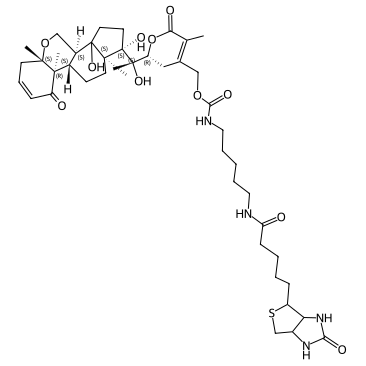 CC1=C(COC(=O)NCCCCCNC(=O)CCCCC2SCC3NC(=O)NC32)C[C@H]([C@](C)(O)[C@]2(O)CCC3(O)[C@@H]4CO[C@@]5(C)CC=CC(=O)[C@]5(C)[C@H]4CC[C@@]32C)OC1=O